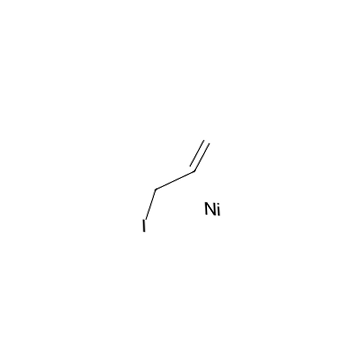 C=CCI.[Ni]